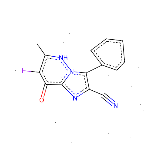 Cc1[nH]n2c(-c3ccccc3)c(C#N)nc2c(=O)c1I